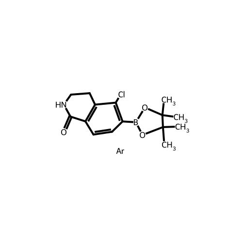 CC1(C)OB(c2ccc3c(c2Cl)CCNC3=O)OC1(C)C.[Ar]